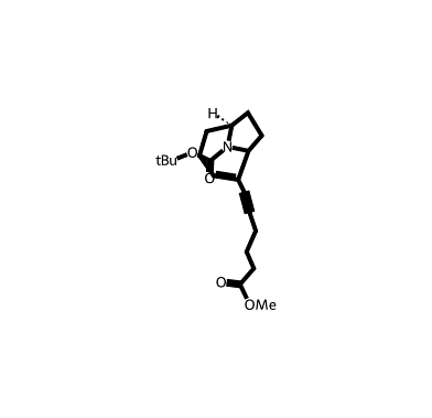 COC(=O)CCCC#CC1=CCC[C@H]2CCC1N2C(=O)OC(C)(C)C